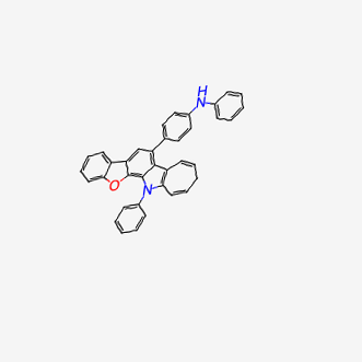 C1=Cc2c(n(-c3ccccc3)c3c2c(-c2ccc(Nc4ccccc4)cc2)cc2c4ccccc4oc23)C=CC1